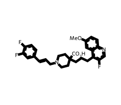 COc1ccc2ncc(F)c(CCCC3(C(=O)O)CCN(CC=Cc4ccc(F)c(F)c4)CC3)c2c1